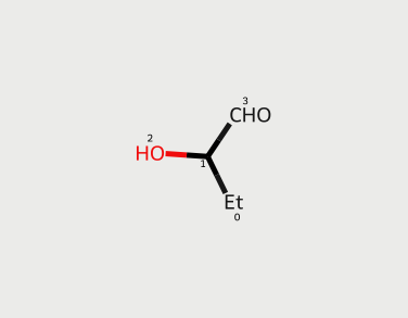 [CH2]CC(O)C=O